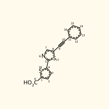 O=C(O)c1ccc(-c2ncc(C#Cc3ccccc3)s2)s1